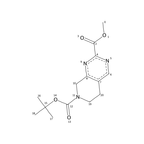 COC(=O)c1ncc2c(n1)CN(C(=O)OC(C)(C)C)CC2